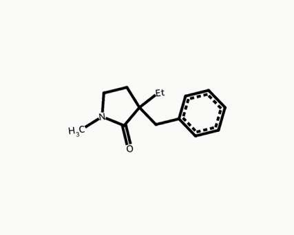 CCC1(Cc2ccccc2)CCN(C)C1=O